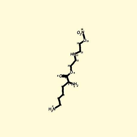 NCCCCC(N)C(=O)OCCNCCO[N+](=O)[O-]